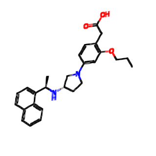 CCCOc1cc(N2CC[C@H](N[C@H](C)c3cccc4ccccc34)C2)ccc1CC(=O)O